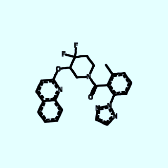 Cc1cccc(-n2nccn2)c1C(=O)N1CCC(F)(F)C(Oc2ccc3ccccc3n2)C1